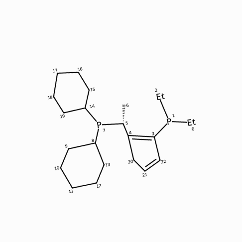 CCP(CC)C1=C([C@@H](C)P(C2CCCCC2)C2CCCCC2)CC=C1